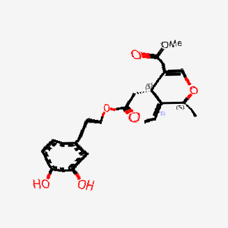 C/C=C1/[C@H](C)OC=C(C(=O)OC)[C@H]1CC(=O)OCCc1ccc(O)c(O)c1